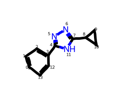 [c]1ccc(-c2nnc(C3CC3)[nH]2)cc1